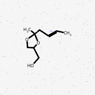 C/C=C/CC1(C)OCC(CO)O1